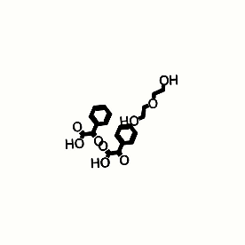 O=C(O)C(=O)c1ccccc1.O=C(O)C(=O)c1ccccc1.OCCOCCO